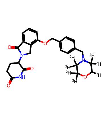 [2H]C1OC([2H])([2H])C([2H])([2H])N(Cc2ccc(COc3cccc4c3CN(C3CCC(=O)NC3=O)C4=O)cc2)C1([2H])[2H]